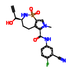 C#CC(O)[C@@H]1CCc2c(cn(C)c2C(=O)Nc2ccc(F)c(C#N)c2)S(=O)(=O)N1